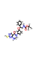 CSc1ncc2c(n1)N(C)CCN(c1cccc(OC(CN(C)C(=O)OC(C)(C)C)c3ccccc3)c1)C2=O